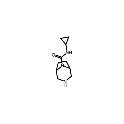 O=C(NC1CC1)N1C2CCC1CNC2